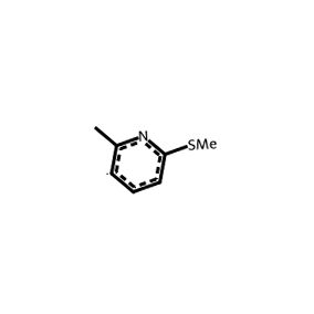 CSc1cc[c]c(C)n1